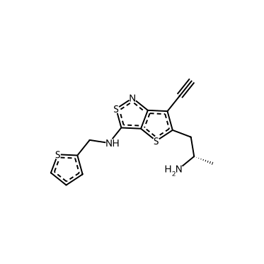 C#Cc1c(C[C@H](C)N)sc2c(NCc3cccs3)snc12